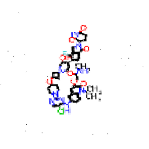 CNC(=O)COc1cc2cc(Nc3nc(N4CCC(OC5CC(N6CC[C@H](c7ccc8c(c7F)CN([C@@H]7CCC(=O)NC7=O)C8=O)[C@@H](O)C6)C5)CC4)ncc3Cl)ccc2n(C(C)C)c1=O